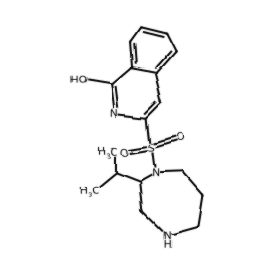 CC(C)C1CNCCCN1S(=O)(=O)c1cc2ccccc2c(O)n1